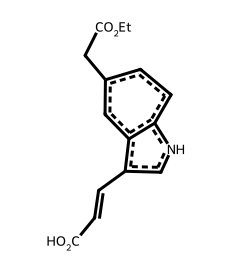 CCOC(=O)Cc1ccc2[nH]cc(C=CC(=O)O)c2c1